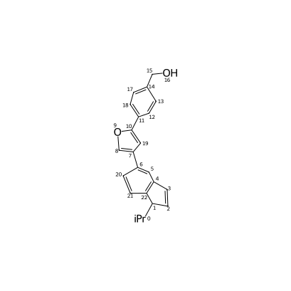 CC(C)C1C=Cc2cc(-c3coc(-c4ccc(CO)cc4)c3)ccc21